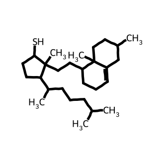 CC(C)CCCC(C)C1CCC(S)C1(C)CCC1CCC=C2CC(C)CCC21C